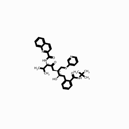 CC(C)[C@H](NC(=O)c1ccc2ccccc2n1)C(=O)C[C@@H](CSc1cccnc1)[C@H](O)Cc1ccccc1C(=O)NC(C)(C)C